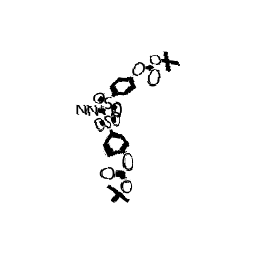 CC(C)(C)OC(=O)Oc1ccc(S(=O)(=O)C(=[N+]=[N-])S(=O)(=O)c2ccc(OC(=O)OC(C)(C)C)cc2)cc1